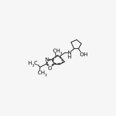 Cc1c(CNC2CCCC2O)ccc2oc(C(C)C)nc12